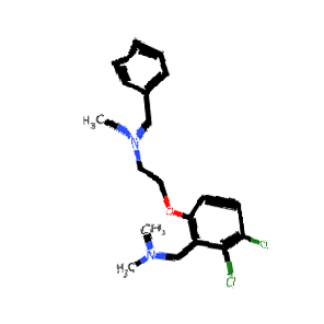 CN(C)Cc1c(OCCN(C)Cc2ccccc2)ccc(Cl)c1Cl